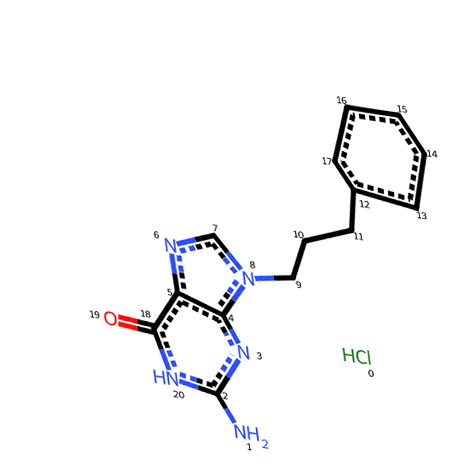 Cl.Nc1nc2c(ncn2CCCc2ccccc2)c(=O)[nH]1